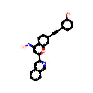 O/N=c1\cc(-c2cc3ccccc3cn2)oc2cc(C#Cc3cccc(O)c3)ccc12